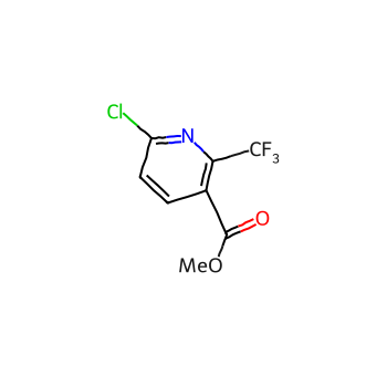 COC(=O)c1ccc(Cl)nc1C(F)(F)F